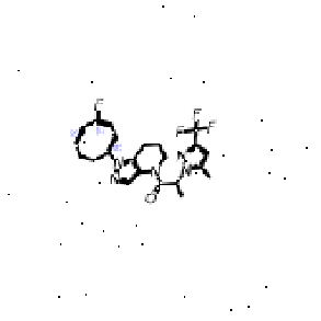 Cc1cc(C(F)(F)F)nn1C(C)C(=O)N1CCCc2c1cnn2/C1=C/C=C(F)\C=C/CC1